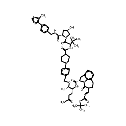 Cc1ncsc1-c1ccc(CNC(=O)[C@@H]2C[C@@H](O)CN2C(=O)C(NC(=O)C2CCN(c3ccc(CO[C@H](C)[C@H](CCC(N)=O)NC(=O)[C@@H]4Cc5cccc6c5N4C(=O)C(/C=N/C(=O)OC(C)(C)C)CC6)cc3)CC2)C(C)(C)C)cc1